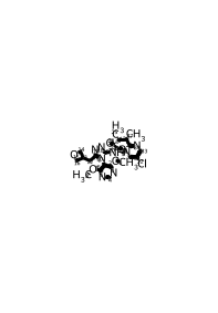 COc1ncnc(OC)c1-n1c(CC2COC2)nnc1NS(=O)(=O)C(C)C(C)c1ncc(Cl)cn1